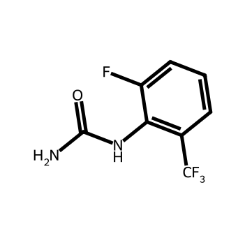 NC(=O)Nc1c(F)cccc1C(F)(F)F